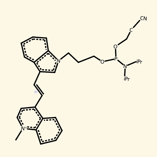 CC(C)N(C(C)C)P(OCCC#N)OCCCn1cc(/C=C/c2cc[n+](C)c3ccccc23)c2ccccc21